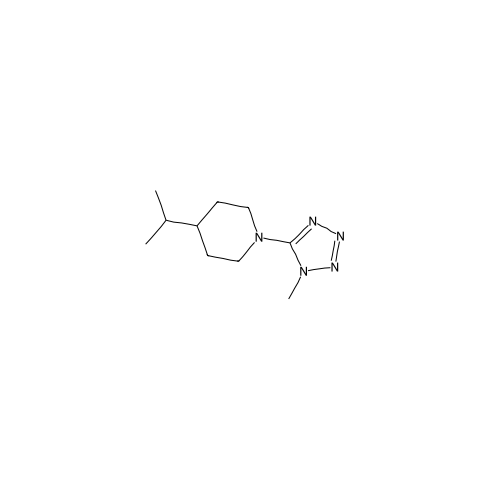 CC(C)C1CCN(c2nnnn2C)CC1